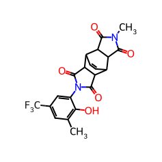 Cc1cc(C(F)(F)F)cc(N2C(=O)C3C4C=CC(C5C(=O)N(C)C(=O)C45)C3C2=O)c1O